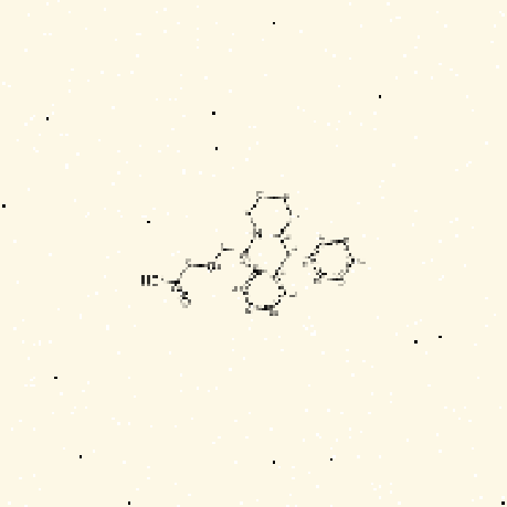 O=C(O)COCC(=O)N1CCCCC1C(c1ccccc1)c1ccccc1